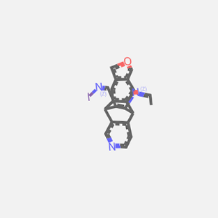 C/C=N\C1=C(/C=N\I)C2c3cnccc3C1c1cc3cocc3cc12